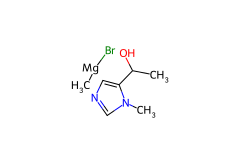 CC(O)c1cncn1C.[CH3][Mg][Br]